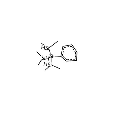 C[SiH](C)[Si](c1ccccc1)([SiH](C)C)[SiH](C)C